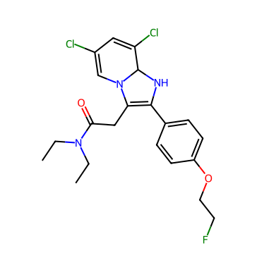 CCN(CC)C(=O)CC1=C(c2ccc(OCCF)cc2)NC2C(Cl)=CC(Cl)=CN12